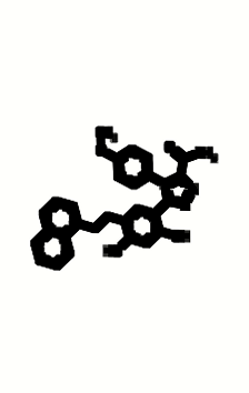 COc1ccc(-n2c(C(N)=O)nnc2-c2cc(CCc3cccc4ccccc34)c(O)cc2O)cc1